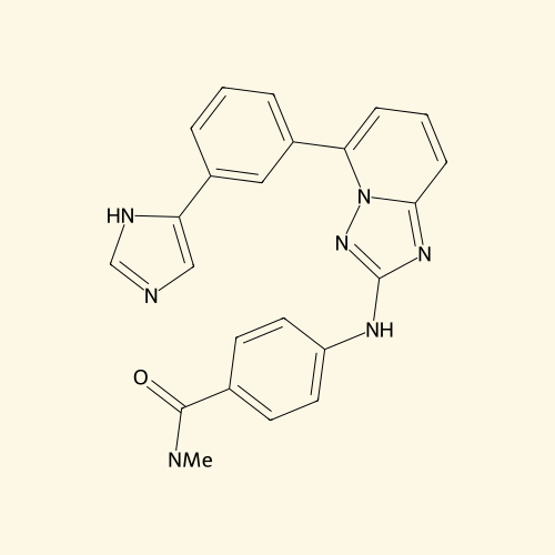 CNC(=O)c1ccc(Nc2nc3cccc(-c4cccc(-c5cnc[nH]5)c4)n3n2)cc1